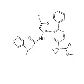 CCOC(=O)C1(c2ccc(-c3ccccc3)c(-c3sc(F)cc3NC(=O)OC(C)c3ccsc3)c2)CC1